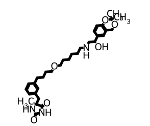 CC1(C)OCc2cc([C@@H](O)CNCCCCCCOCCCCc3cccc(C[C@]4(C)NC(=O)NC4=O)c3)ccc2O1